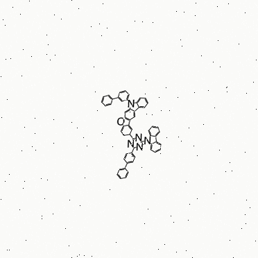 C1=c2oc3cc4c(cc3c2=CC(c2nc(-c3ccc(-c5ccccc5)cc3)nc(-n3c5ccccc5c5ccccc53)n2)C1)c1ccccc1n4-c1cccc(-c2ccccc2)c1